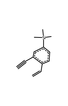 C#Cc1cc([Si](C)(C)C)ccc1C=C